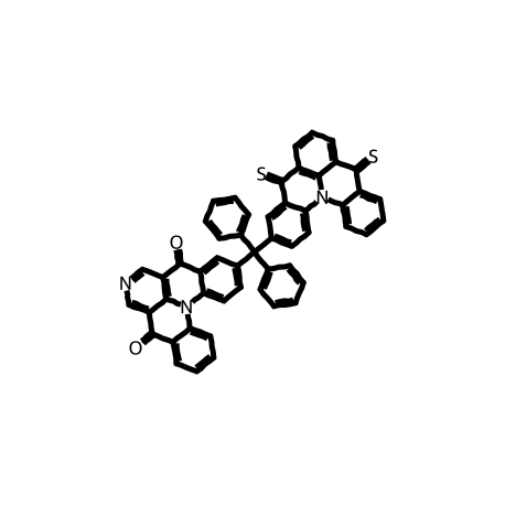 O=c1c2ccccc2n2c3ccc(C(c4ccccc4)(c4ccccc4)c4ccc5c(c4)c(=S)c4cccc6c(=S)c7ccccc7n5c64)cc3c(=O)c3cncc1c32